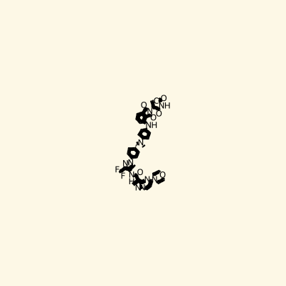 CN(C[C@H]1CC[C@H](n2cc(NC(=O)c3cnn4ccc(N5CCOCC5)nc34)c(C(F)F)n2)CC1)[C@H]1CC[C@@H](Nc2cccc3c2C(=O)N(C2CCC(=O)NC2=O)C3=O)CC1